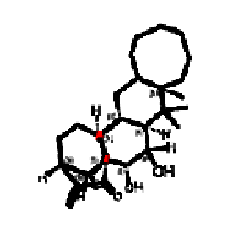 C=C1C(=O)[C@]23[C@H](O)[C@H]1CC[C@H]2[C@@]12CO[C@@]3(O)[C@@H](O)[C@@H]1C(C)(C)[C@@]1(C)CCCCCCC1C2